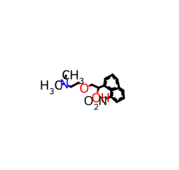 CN(C)CCOCC(O)c1cccc2cccc([N+](=O)[O-])c12